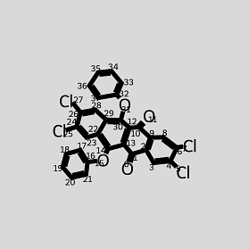 O=C1c2cc(Cl)c(Cl)cc2C(=O)c2c1c(Oc1ccccc1)c1cc(Cl)c(Cl)cc1c2Oc1ccccc1